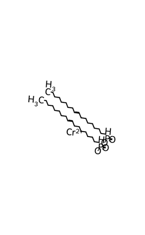 CCCCCCCCC=CCCCCCCCC[PH](=O)[O-].CCCCCCCCC=CCCCCCCCC[PH](=O)[O-].[Cr+2]